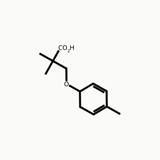 CC1=CCC(OCC(C)(C)C(=O)O)C=C1